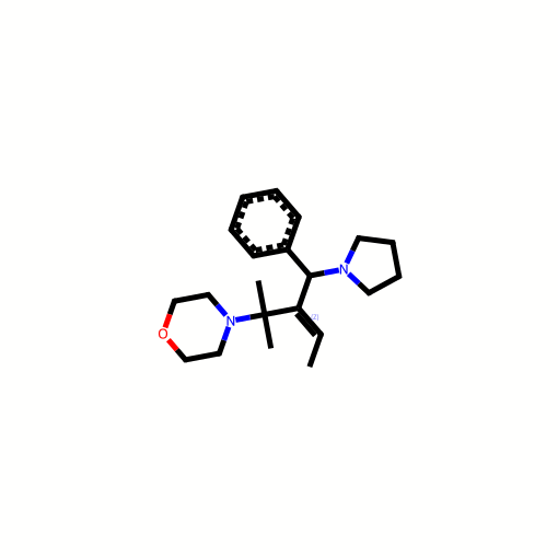 C/C=C(/C(c1ccccc1)N1CCCC1)C(C)(C)N1CCOCC1